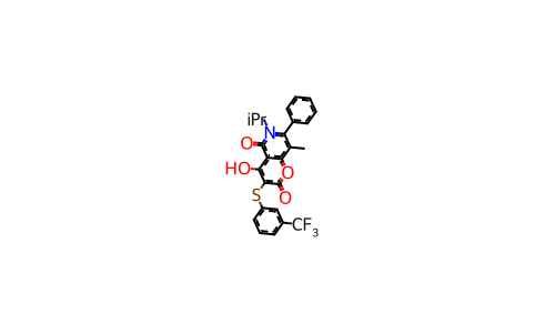 Cc1c(-c2ccccc2)n(C(C)C)c(=O)c2c(O)c(Sc3cccc(C(F)(F)F)c3)c(=O)oc12